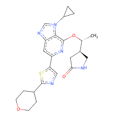 C[C@@H](Oc1nc(-c2cnc(C3CCOCC3)s2)cc2ncn(C3CC3)c12)[C@H]1CNC(=O)C1